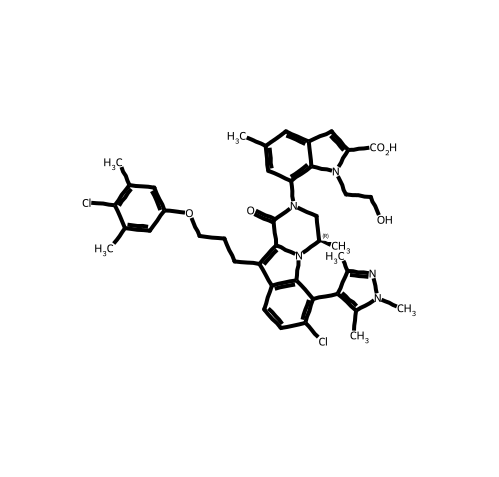 Cc1cc(N2C[C@@H](C)n3c(c(CCCOc4cc(C)c(Cl)c(C)c4)c4ccc(Cl)c(-c5c(C)nn(C)c5C)c43)C2=O)c2c(c1)cc(C(=O)O)n2CCO